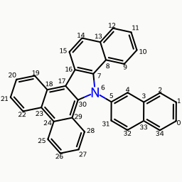 c1ccc2cc(-n3c4c5ccccc5ccc4c4c5ccccc5c5ccccc5c43)ccc2c1